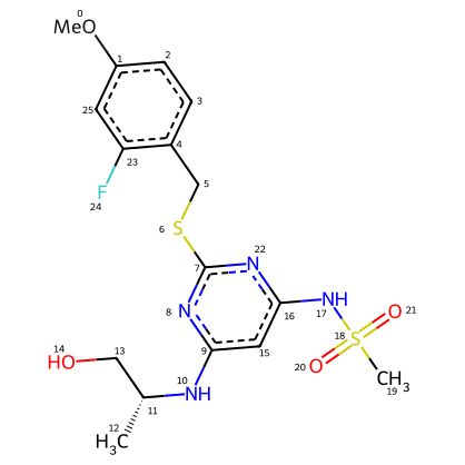 COc1ccc(CSc2nc(N[C@H](C)CO)cc(NS(C)(=O)=O)n2)c(F)c1